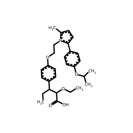 CCOC(C(=O)O)C(CC)c1ccc(OCCn2c(C)ccc2-c2ccc(OC(C)C)cc2)cc1